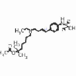 CCN(CC/C=C/c1ccc(NS(C)(=O)=O)cc1)CCCCCC(C)(C)OC(C)=O